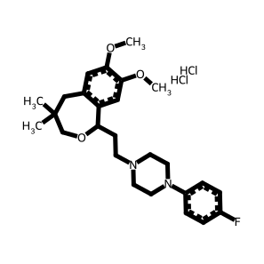 COc1cc2c(cc1OC)C(CCN1CCN(c3ccc(F)cc3)CC1)OCC(C)(C)C2.Cl.Cl